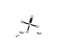 O=P([O-])([O-])[O-].[Na+].[Na+].[V+5]